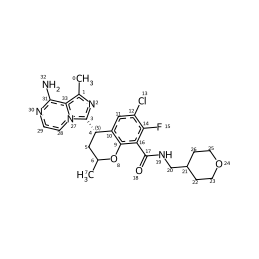 Cc1nc([C@H]2CC(C)Oc3c2cc(Cl)c(F)c3C(=O)NCC2CCOCC2)n2ccnc(N)c12